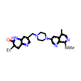 CCc1cc2ncc(CN3CCN(c4cnc5c(NC)ncc(C)c5c4)CC3)cc2[nH]c1=O